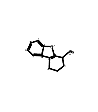 CCC(C)C1CCCC2=C1[N]c1ccccc12